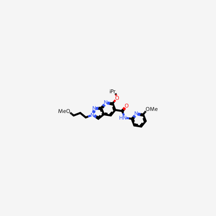 COCCCn1cc2cc(C(=O)Nc3cccc(OC)n3)c(OC(C)C)nc2n1